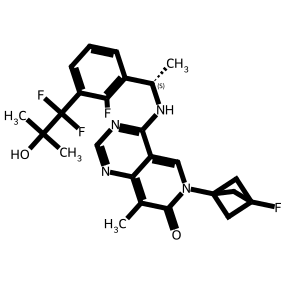 Cc1c(=O)n(C23CC(F)(C2)C3)cc2c(N[C@@H](C)c3cccc(C(F)(F)C(C)(C)O)c3F)ncnc12